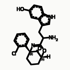 NC(Cc1c[nH]c2ccc(O)cc12)C1=N[C@@]2(c3ccccc3Cl)CCC[C@@H](O1)C2=O